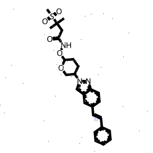 CC(C)(CC(=O)NOC1CCC(n2cc3cc(/C=C/c4ccccc4)ccc3n2)CO1)S(C)(=O)=O